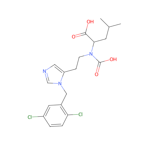 CC(C)CC(C(=O)O)N(CCc1cncn1Cc1cc(Cl)ccc1Cl)C(=O)O